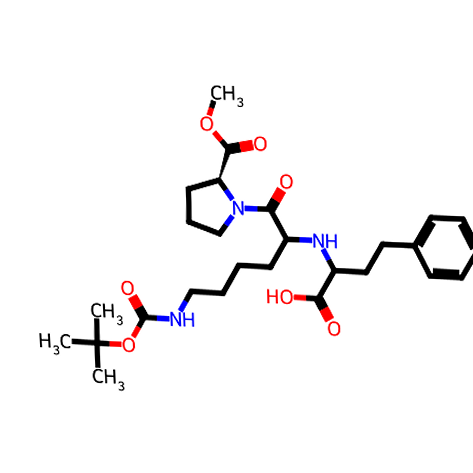 COC(=O)[C@@H]1CCCN1C(=O)C(CCCCNC(=O)OC(C)(C)C)NC(CCc1ccccc1)C(=O)O